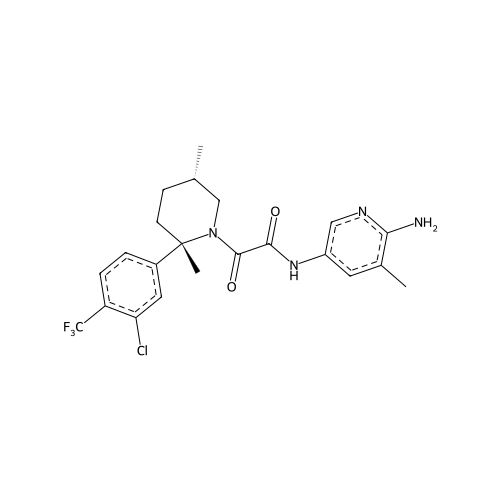 Cc1cc(NC(=O)C(=O)N2C[C@@H](C)CC[C@@]2(C)c2ccc(C(F)(F)F)c(Cl)c2)cnc1N